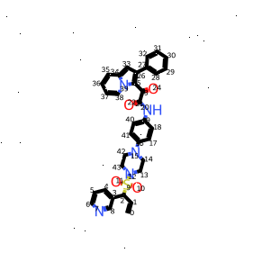 C=CC(c1cccnc1)S(=O)(=O)N1CCN(c2ccc(NC(=O)C(=O)c3c(-c4ccccc4)cc4ccccn34)cc2)CC1